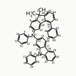 CC1(C)c2ccc(N(c3ccccc3)c3ccc4c5ccccc5n(-c5ccccc5)c4c3)cc2-c2c(-c3ccccc3)cccc21